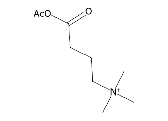 CC(=O)OC(=O)CCC[N+](C)(C)C